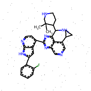 CC1(C)CNCCC1C(N)c1nc(-c2ccnc3[nH]c(-c4ccccc4F)cc23)nc2cncc(C3CC3)c12